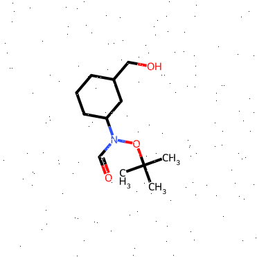 CC(C)(C)ON(C=O)C1CCCC(CO)C1